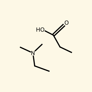 CCC(=O)O.CCN(C)C